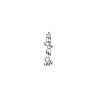 Cn1c2c(c3sc(Cc4cscn4)nc31)C=NN(Cc1cccc3[nH]ncc13)C2